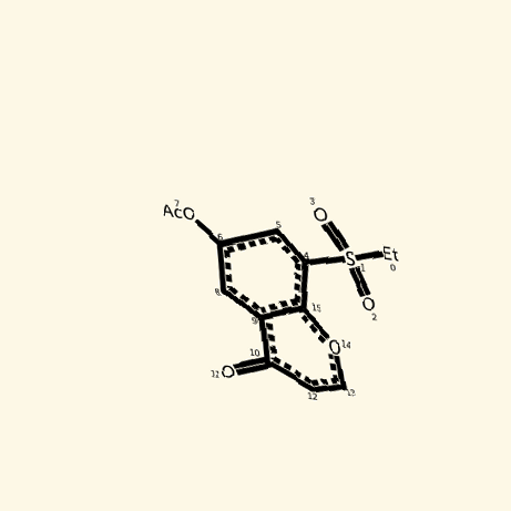 CCS(=O)(=O)c1cc(OC(C)=O)cc2c(=O)ccoc12